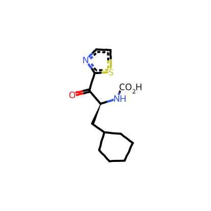 O=C(O)N[C@@H](CC1CCCCC1)C(=O)c1nccs1